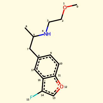 COCCNC(C)Cc1ccc2occ(F)c2c1